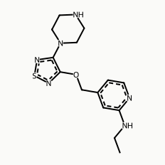 CCNc1cc(COc2nsnc2N2CCNCC2)ccn1